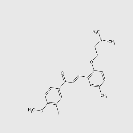 COc1ccc(C(=O)C=Cc2cc(C)ccc2OCCN(C)C)cc1F